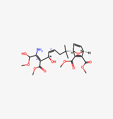 COC(=O)C1=C(C(=O)OC)[C@@]2(C(C)(C)C/C=C\[C@@H](O)/C(C(=O)OC)=C(\N)C(O)OC)C=C[C@@H]1O2